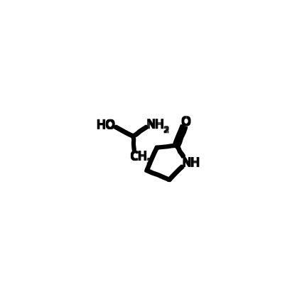 CC(N)O.O=C1CCCN1